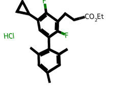 CCOC(=O)CCc1c(F)c(-c2c(C)cc(C)cc2C)cc(C2CC2)c1F.Cl